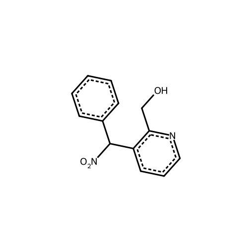 O=[N+]([O-])C(c1ccccc1)c1cccnc1CO